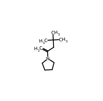 C=C(CC(C)(C)C)N1CCCC1